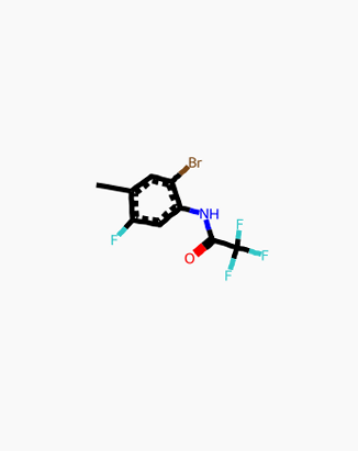 Cc1cc(Br)c(NC(=O)C(F)(F)F)cc1F